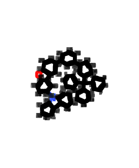 c1ccc(C(c2ccccc2)(c2ccccc2)c2cccc(-c3cccc(-c4ccc5oc6ccc(-n7c8ccccc8c8ccccc87)cc6c5c4)c3)c2)cc1